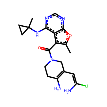 Cc1oc2ncnc(NC3(C)CC3)c2c1C(=O)N1CCC(N)=C(/C=C(\N)Cl)C1